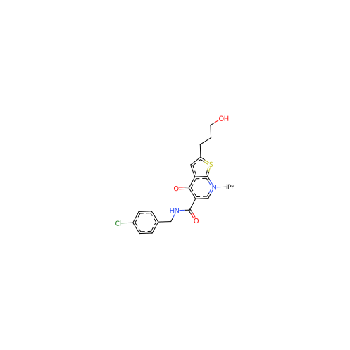 CC(C)n1cc(C(=O)NCc2ccc(Cl)cc2)c(=O)c2cc(CCCO)sc21